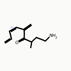 C=C/C=C\C(=C)C(=O)C(C)CCN